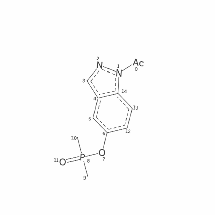 CC(=O)n1ncc2cc(OP(C)(C)=O)ccc21